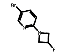 FC1CN(c2ccc(Br)cn2)C1